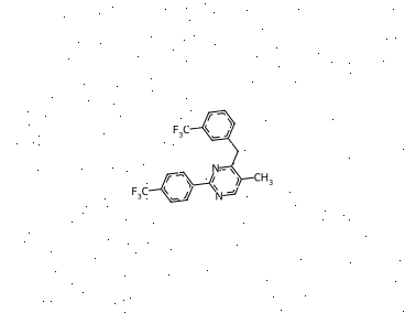 Cc1cnc(-c2ccc(C(F)(F)F)cc2)nc1Cc1cccc(C(F)(F)F)c1